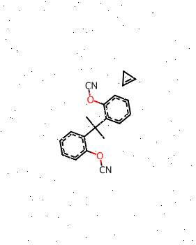 C1=CC1.CC(C)(c1ccccc1OC#N)c1ccccc1OC#N